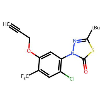 C#CCOc1cc(-n2nc(C(C)(C)C)sc2=O)c(Cl)cc1C(F)(F)F